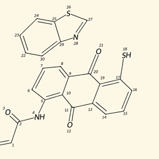 C=CC(=O)Nc1cccc2c1C(=O)c1cccc(S)c1C2=O.c1ccc2scnc2c1